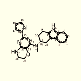 c1ccc2c3c([nH]c2c1)CC[C@@H](Nc1nc(-n2cccn2)nc2c1OCCN2)C3